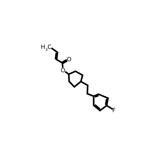 CC=CC(=O)OC1CCC(CCc2ccc(F)cc2)CC1